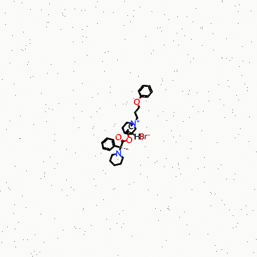 C[C@@](C(=O)O[C@H]1C[N+]2(CCCOc3ccccc3)CCC1CC2)(c1ccccc1)N1CCCCC1.[Br-]